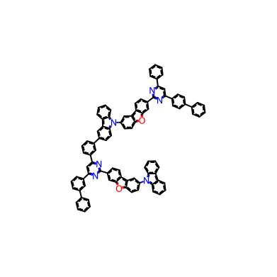 c1ccc(-c2ccc(-c3cc(-c4ccccc4)nc(-c4ccc5c(c4)oc4ccc(-n6c7ccccc7c7cc(-c8cccc(-c9cc(-c%10cccc(-c%11ccccc%11)c%10)nc(-c%10ccc%11c(c%10)oc%10ccc(-n%12c%13ccccc%13c%13ccccc%13%12)cc%10%11)n9)c8)ccc76)cc45)n3)cc2)cc1